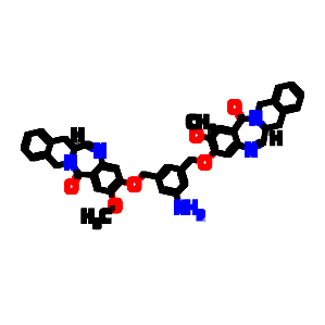 COc1cc2c(cc1OCc1cc(N)cc(COc3cc4c(cc3OC)C(=O)N3Cc5ccccc5C[C@H]3C=N4)c1)N=C[C@@H]1Cc3ccccc3CN1C2=O